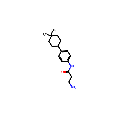 CC1(C)CCC(c2ccc(NC(=O)CCN)cc2)CC1